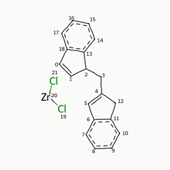 C1=CC(CC2=Cc3ccccc3C2)c2ccccc21.[Cl][Zr][Cl]